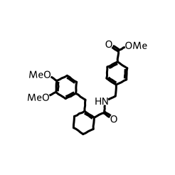 COC(=O)c1ccc(CNC(=O)C2=C(Cc3ccc(OC)c(OC)c3)CCCC2)cc1